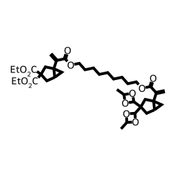 C=C(C(=O)OCCCCCCCCCOC(=O)C(=C)C12CC1CC(C1OC(C)O1)(C1OC(C)O1)C2)C12CC1CC(C(=O)OCC)(C(=O)OCC)C2